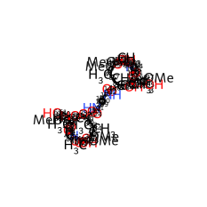 COC1C[C@@H](C)C/C(C)=C/[C@@H](CCOC(=O)NCc2ccc(CNC(=O)OCC[C@@H]3/C=C(\C)C[C@H](C)CC(OC)C4O[C@@](O)(C(=O)C(=O)N5CCCC[C@H]5C(=O)OC(/C(C)=C/[C@@H]5CC[C@@H](O)[C@H](OC)C5)[C@H](C)[C@@H](O)CC3=O)[C@H](C)CC4OC)cc2)CC[C@H](O)[C@@H](C)C(/C(C)=C/[C@@H]2CC[C@@H](O)[C@H](OC)C2)OC(=O)[C@@H]2CCCCN2C(=O)C(=O)[C@]2(O)OC1C(OC)C[C@H]2C